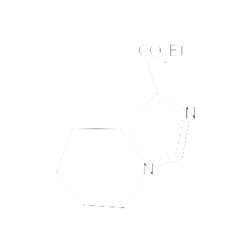 CCOC(=O)c1ncn2c1CCCC2